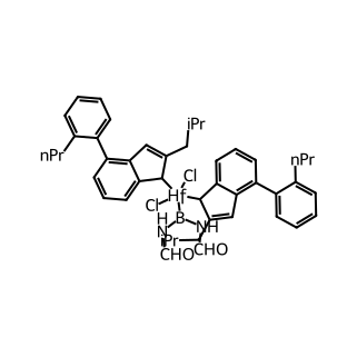 CCCc1ccccc1-c1cccc2c1C=C(CC(C)C)[CH]2[Hf]([Cl])([Cl])([B](NC=O)NC=O)[CH]1C(CC(C)C)=Cc2c(-c3ccccc3CCC)cccc21